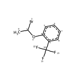 CC(Br)Oc1ccccc1C(F)(F)F